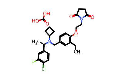 CCc1cc(CN(C2CCC2)[C@H](C)c2ccc(Cl)c(F)c2)ccc1OCCN1C(=O)CCC1=O.O=C(O)O